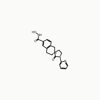 O=C(NO)c1ccc2c(c1)CC[C@]1(CCN(c3ccccn3)C1=O)C2